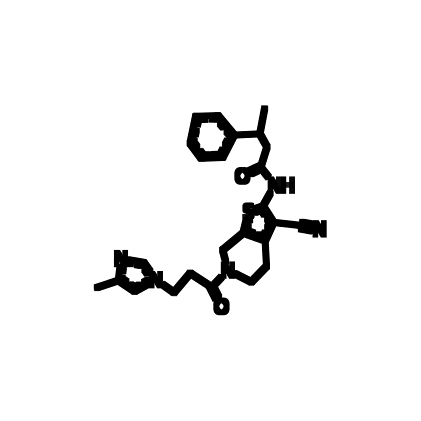 Cc1cn(CCC(=O)N2CCc3c(sc(NC(=O)CC(C)c4ccccc4)c3C#N)C2)cn1